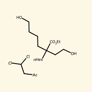 CC(=O)CC(Cl)Cl.CCCCCCC(CCO)(CCCCO)C(=O)OCC